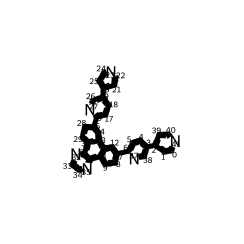 c1cc(-c2ccc(-c3ccc4c(c3)c3cc(-c5ccc(-c6ccncc6)cn5)ccc3c3nccnc43)nc2)ccn1